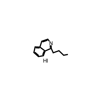 CCCCc1nccc2ccccc12.I